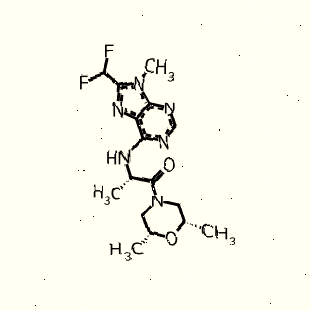 C[C@@H]1CN(C(=O)[C@H](C)Nc2ncnc3c2nc(C(F)F)n3C)C[C@H](C)O1